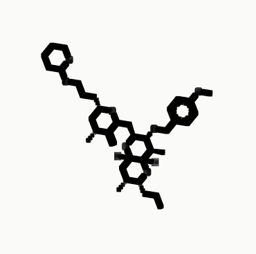 C=C1C(C[C@@H]2O[C@H]3C[C@@H](C)[C@@H](CCC)O[C@H]3[C@H](C)[C@H]2OCc2ccc(OC)cc2)O[C@@H](CCCOC2CCCCO2)C[C@H]1C